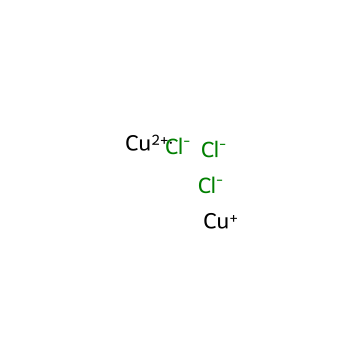 [Cl-].[Cl-].[Cl-].[Cu+2].[Cu+]